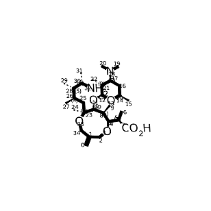 C=C1CO[C@H]([C@@H](C)C(=O)O)[C@H](C)[C@@H](O[C@@H]2O[C@H](C)C[C@H](N(C)C)[C@H]2C)[C@](C)(C[C@@H](C)[C@H](C)[C@H](C)N)OC1